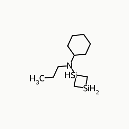 CCCN(C1CCCCC1)[SiH]1C[SiH2]C1